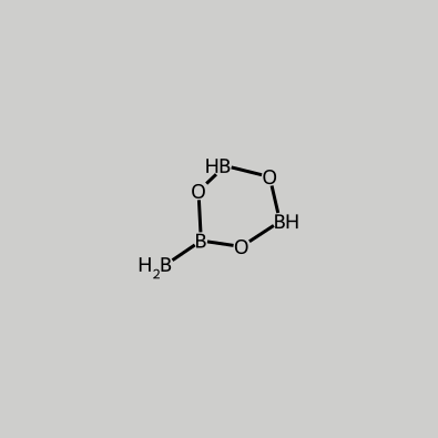 BB1OBOBO1